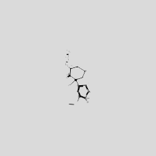 COc1cc(C2(C)CCCC(N=[N+]=[N-])C2=O)ccc1Cl